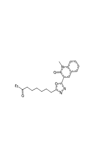 CCC(=O)CCCCCCc1nnc(-c2cc3ccccc3n(C)c2=O)o1